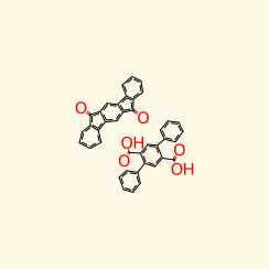 O=C(O)c1cc(-c2ccccc2)c(C(=O)O)cc1-c1ccccc1.O=c1c2ccccc2c2cc3c(=O)c4ccccc4c3cc12